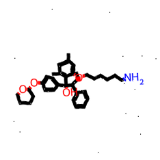 CCC(c1ccccc1)C(O)(c1ccc(OC2CCCCO2)cc1)c1c(C)cc(C)cc1OCCCCCCN